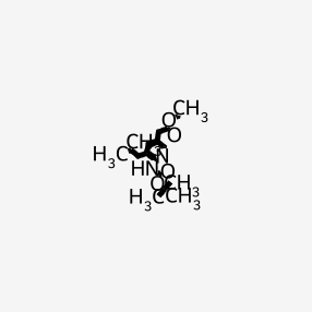 CCOC(=O)Cc1cnc(NC(=O)OC(C)(C)C)c(CC(C)C)c1